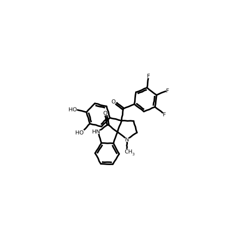 CN1CCC(C(=O)c2cc(F)c(F)c(F)c2)(c2ccc(O)c(O)c2)C12C(=O)Nc1ccccc12